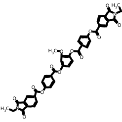 CCN1C(=O)c2ccc(C(=O)Oc3ccc(C(=O)Oc4ccc(OC(=O)c5ccc(OC(=O)c6ccc7c(c6)C(=O)N(CC)C7=O)cc5)c(OC)c4)cc3)cc2C1=O